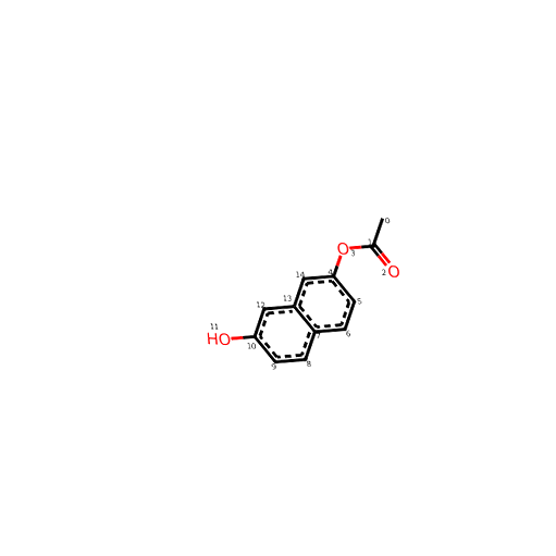 CC(=O)Oc1ccc2ccc(O)cc2c1